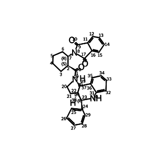 O=C([C@H]1CCCC[C@H]1N1C(=O)c2ccccc2C1=O)N1CC[C@@H]2[C@H](c3ccccc3)Nc3ccccc3[C@@H]21